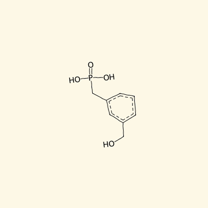 O=P(O)(O)Cc1cccc(CO)c1